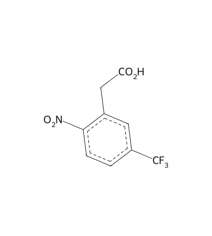 O=C(O)Cc1cc(C(F)(F)F)ccc1[N+](=O)[O-]